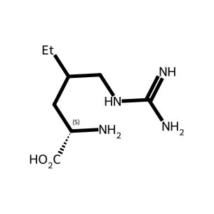 CCC(CNC(=N)N)C[C@H](N)C(=O)O